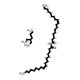 CCCCC(CC)CN.CCCCCCCC/C=C\CCCCCCCC(=O)NC(=O)CCCCCCC/C=C\CCCCCCCC